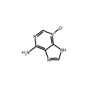 Nc1nc[n+]([O-])c2[nH]cnc12